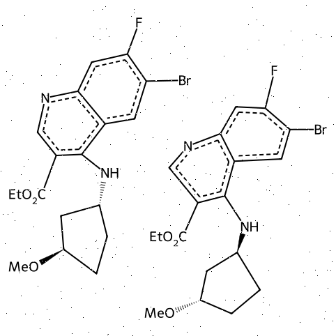 CCOC(=O)c1cnc2cc(F)c(Br)cc2c1N[C@@H]1CC[C@@H](OC)C1.CCOC(=O)c1cnc2cc(F)c(Br)cc2c1N[C@H]1CC[C@H](OC)C1